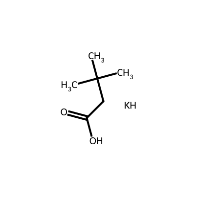 CC(C)(C)CC(=O)O.[KH]